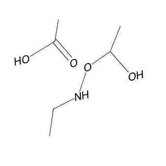 CC(=O)O.CCNOC(C)O